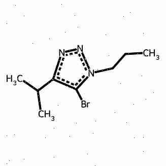 CCCn1nnc(C(C)C)c1Br